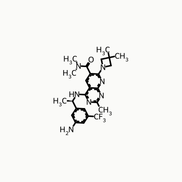 Cc1nc(N[C@H](C)c2cc(N)cc(C(F)(F)F)c2)c2cc(C(=O)N(C)C)c(N3CC(C)(C)C3)nc2n1